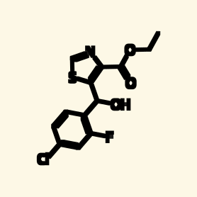 CCOC(=O)c1ncsc1C(O)c1ccc(Cl)cc1F